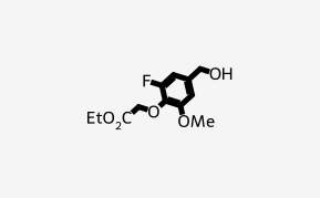 CCOC(=O)COc1c(F)cc(CO)cc1OC